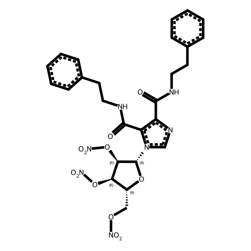 O=C(NCCc1ccccc1)c1ncn([C@@H]2O[C@H](CO[N+](=O)[O-])[C@@H](O[N+](=O)[O-])[C@H]2O[N+](=O)[O-])c1C(=O)NCCc1ccccc1